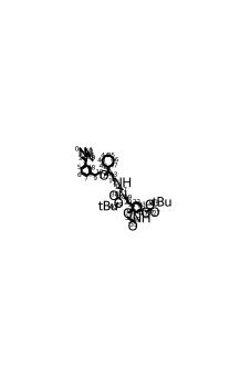 Cn1cc(-c2cccc(CCOC(CCNCCN(CCc3ccc(OC(=O)OC(C)(C)C)c4c3OCC(=O)N4)C(=O)OC(C)(C)C)C3CCCCCC3)c2)nn1